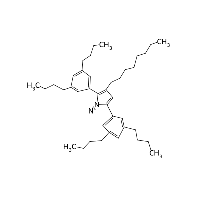 CCCCCCCCC1=C(c2cc(CCCC)cc(CCCC)c2)[N+](=[N-])C(c2cc(CCCC)cc(CCCC)c2)=C1